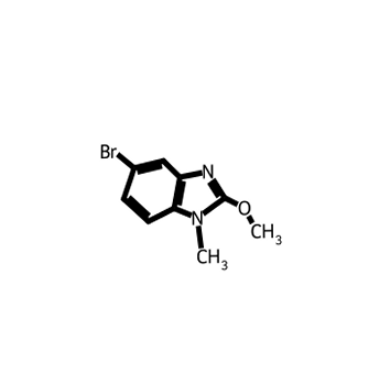 COc1nc2cc(Br)ccc2n1C